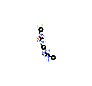 O=C(NCc1ccc(Nc2ncnc3[nH]c(-c4ccccc4)cc23)cc1)c1cncn(Cc2ccc(F)c(F)c2)c1=O